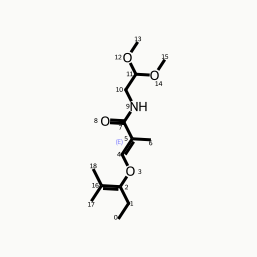 CCC(O/C=C(\C)C(=O)NCC(OC)OC)=C(C)C